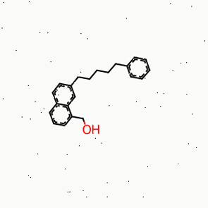 OCc1cccc2ccc(CCCCCc3ccccc3)cc12